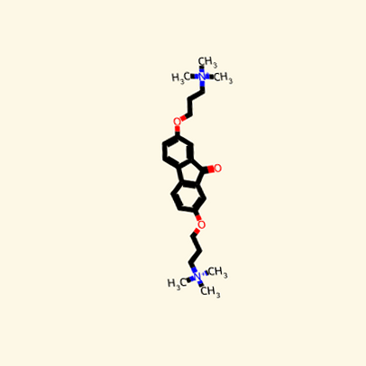 C[N+](C)(C)CCCOc1ccc2c(c1)C(=O)c1cc(OCCC[N+](C)(C)C)ccc1-2